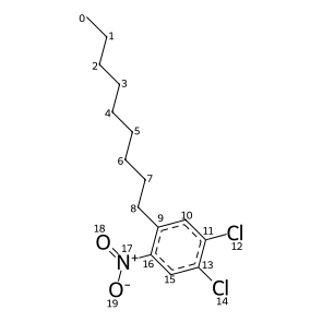 CCCCCCCCCc1cc(Cl)c(Cl)cc1[N+](=O)[O-]